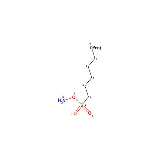 CCCCCCCCCCS(=O)(=O)ON